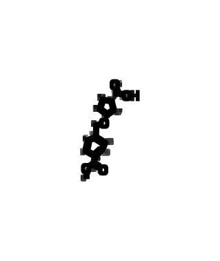 COC(=O)c1ccc(CO[C@@H]2CC[C@H](C(=O)O)C2)cc1